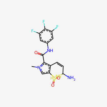 Cn1cc([SH](=O)=O)c(/C=C\C(N)S)c1C(=O)Nc1cc(F)c(F)c(F)c1